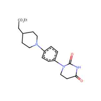 CCOC(=O)CC1CCN(c2ccc(N3CCC(=O)NC3=O)cc2)CC1